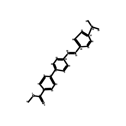 COC(=O)c1ccc(-c2ccc(/N=N/c3ccc(N(C)C)cc3)cc2)cc1